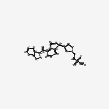 NS(=O)(=O)OC[C@@H]1CC[C@H](n2cnc3c(NC4CCc5ccccc54)ncnc32)C1